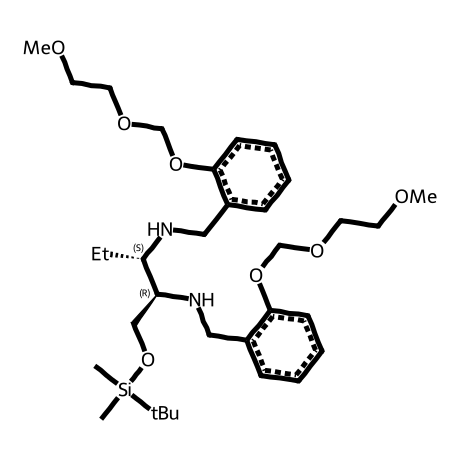 CC[C@H](NCc1ccccc1OCOCCOC)[C@H](CO[Si](C)(C)C(C)(C)C)NCc1ccccc1OCOCCOC